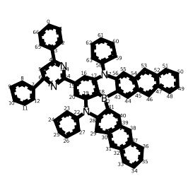 c1ccc(-c2cc(-c3ccccc3)nc(-c3cc4c5c(c3)N(c3ccccc3)c3cc6cc7ccccc7cc6cc3B5c3cc5cc6ccccc6cc5cc3N4c3ccccc3)n2)cc1